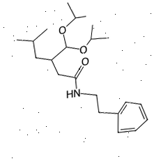 CC(C)CC(CC(=O)NCCc1ccccc1)C(OC(C)C)OC(C)C